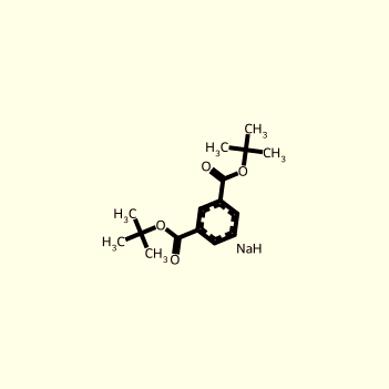 CC(C)(C)OC(=O)c1cccc(C(=O)OC(C)(C)C)c1.[NaH]